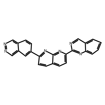 c1ccc2nc(-c3ccc4ccc(-c5ccc6cnncc6c5)nc4n3)ncc2c1